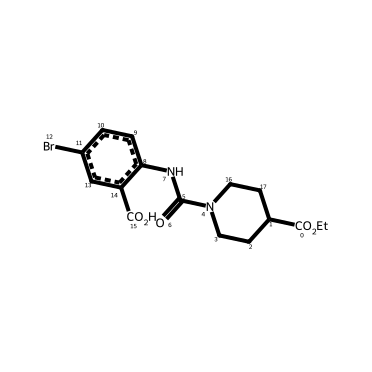 CCOC(=O)C1CCN(C(=O)Nc2ccc(Br)cc2C(=O)O)CC1